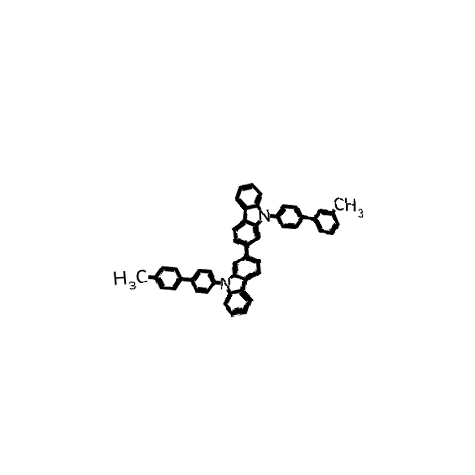 Cc1ccc(-c2ccc(-n3c4ccccc4c4ccc(-c5ccc6c7ccccc7n(-c7ccc(-c8cccc(C)c8)cc7)c6c5)cc43)cc2)cc1